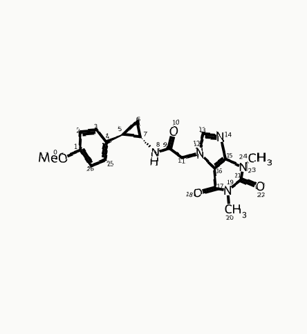 COc1ccc([C@H]2C[C@@H]2NC(=O)Cn2cnc3c2c(=O)n(C)c(=O)n3C)cc1